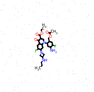 CCCNC1CN(c2cc3c(cc2F)c(=O)c(C(=O)OCC)cn3-c2cc(N)c(F)cc2COC(C)=O)C1